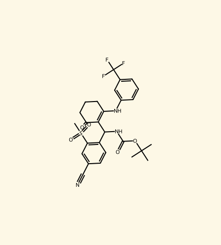 CC(C)(C)OC(=O)NC(C1=C(Nc2cccc(C(F)(F)F)c2)CCCC1=O)c1ccc(C#N)cc1S(C)(=O)=O